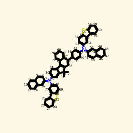 CC1(C)c2cc(N(c3ccc4ccccc4c3)c3ccc4sc5ccccc5c4c3)ccc2-c2c1cc(-c1ccc(N(c3ccc4ccccc4c3)c3ccc4sc5ccccc5c4c3)cc1)c1ccccc21